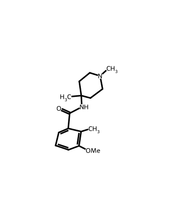 COc1cccc(C(=O)NC2(C)CCN(C)CC2)c1C